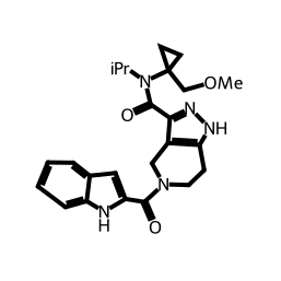 COCC1(N(C(=O)c2n[nH]c3c2CN(C(=O)c2cc4ccccc4[nH]2)CC3)C(C)C)CC1